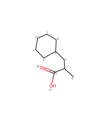 CC(CC1CCCCC1)C(=O)O